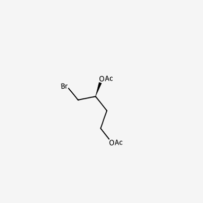 CC(=O)OCC[C@@H](CBr)OC(C)=O